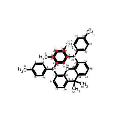 Cc1ccc(P(c2ccc(C)cc2)c2cccc3c2Oc2c(P(c4ccc(C)cc4)c4ccc(C)cc4)cccc2C3(C)C)cc1